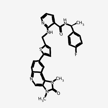 C[C@H](NC(=O)c1cccnc1NCc1ccc(-c2ccc3ncc4c(c3c2)n(C)c(=O)n4C)s1)c1ccc(F)cc1